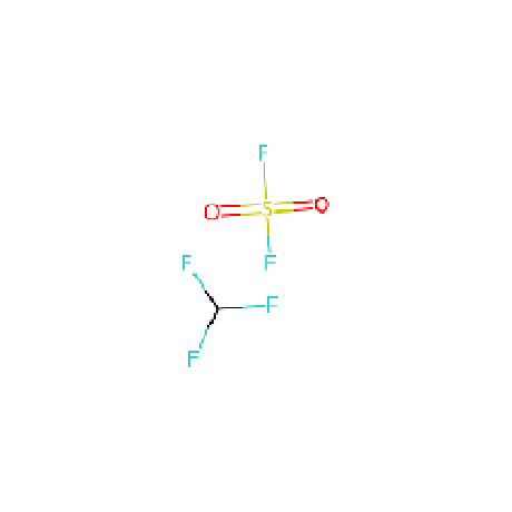 FC(F)F.O=S(=O)(F)F